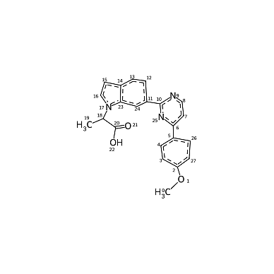 COc1ccc(-c2ccnc(-c3ccc4ccn(C(C)C(=O)O)c4c3)n2)cc1